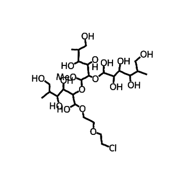 COC(OC(C(O)OCCOCCCl)C(O)C(O)C(C)CO)C(OC(O)C(O)C(O)C(O)C(C)CO)C(O)C(O)C(C)CO